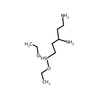 CCO[SiH](CCC(N)CCN)OCC